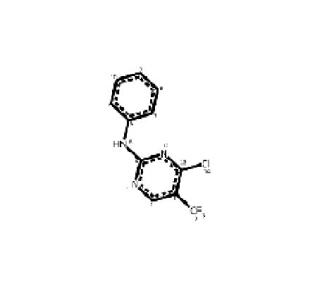 FC(F)(F)c1cnc(Nc2ccccc2)nc1Cl